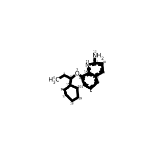 CCC(Oc1cccc2ccc(N)nc12)C1CCCCC1